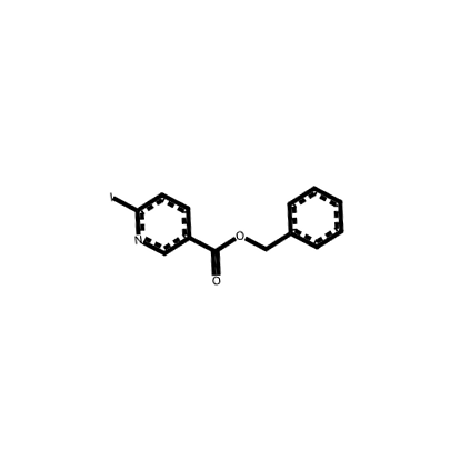 O=C(OCc1ccccc1)c1ccc(I)nc1